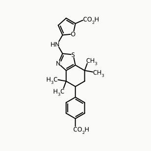 CC1(C)CC(c2ccc(C(=O)O)cc2)C(C)(C)c2nc(Nc3ccc(C(=O)O)o3)sc21